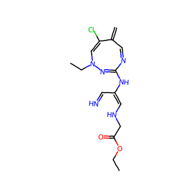 C=C1/C=N\C(N/C(C=N)=C/NCC(=O)OCC)=N/N(CC)/C=C\1Cl